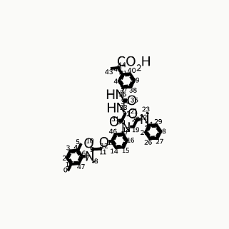 Cc1ccc(C)c(N(C)C(=O)COc2cccc(N(CC(=O)N(C)c3ccccc3)C(=O)CNC(=O)Nc3cccc(C(C)C(=O)O)c3)c2)c1